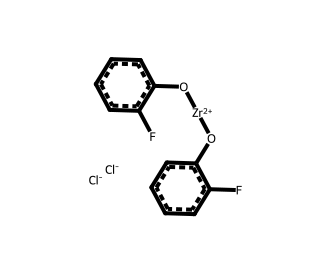 Fc1ccccc1[O][Zr+2][O]c1ccccc1F.[Cl-].[Cl-]